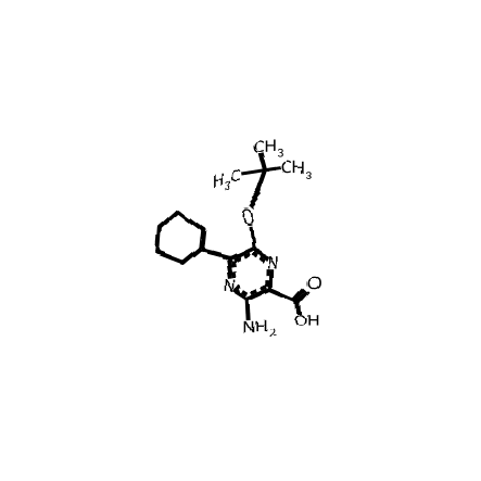 CC(C)(C)COc1nc(C(=O)O)c(N)nc1C1CCCCC1